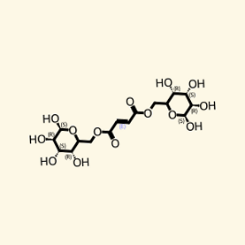 O=C(/C=C/C(=O)OCC1O[C@H](O)[C@H](O)[C@@H](O)[C@H]1O)OCC1O[C@H](O)[C@H](O)[C@@H](O)[C@H]1O